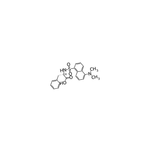 CN(C)c1cccc2c(S(=O)(=O)N[C@@H](Cc3ccccc3)C(=O)O)cccc12